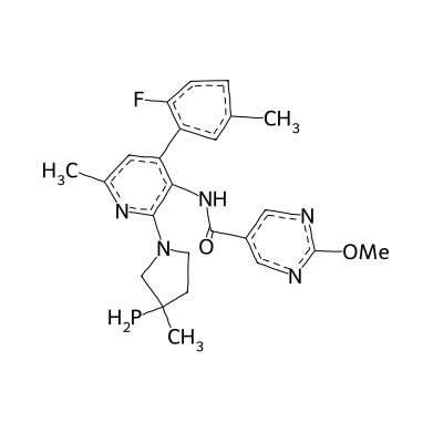 COc1ncc(C(=O)Nc2c(-c3cc(C)ccc3F)cc(C)nc2N2CCC(C)(P)C2)cn1